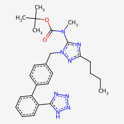 CCCCc1nc(N(C)C(=O)OC(C)(C)C)n(Cc2ccc(-c3ccccc3-c3nnn[nH]3)cc2)n1